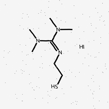 CN(C)C(=NCCS)N(C)C.I